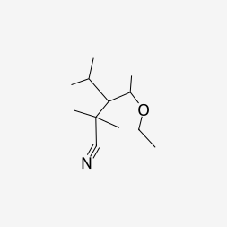 CCOC(C)C(C(C)C)C(C)(C)C#N